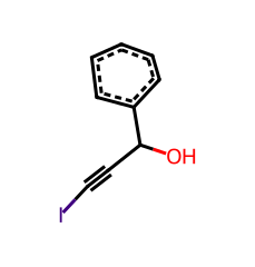 OC(C#CI)c1ccccc1